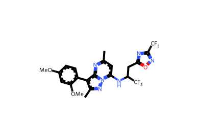 COc1ccc(-c2c(C)nn3c(NC(Cc4nc(C(F)(F)F)no4)C(F)(F)F)cc(C)nc23)c(OC)c1